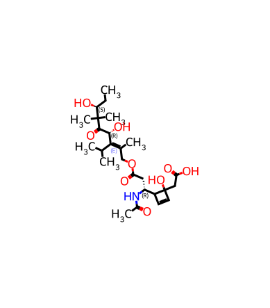 CC[C@H](O)C(C)(C)C(=O)[C@H](O)/C(=C(\C)COC(=O)C[C@@H](NC(C)=O)C1C=CC1(O)CC(=O)O)C(C)C